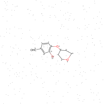 O=Cc1ccc(OC2CCOCC2)c(Br)c1